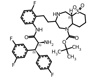 CC(C)(C)OC(=O)N1CC(CCc2c(F)cccc2NC(=O)[C@@H](N)[C@@H](c2ccc(F)cc2)c2cc(F)cc(F)c2)NC[C@H]2C1CCCS2(=O)=O